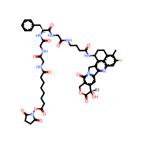 CC[C@@]1(O)C(=O)OCc2c1cc1n(c2=O)Cc2c-1nc1cc(F)c(C)c3c1c2C(NC(=O)CCCNC(=O)CNC(=O)[C@H](Cc1ccccc1)NC(=O)CNC(=O)CNC(=O)CCCCCCC(=O)ON1C(=O)CCC1=O)CC3